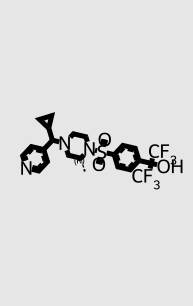 C[C@@H]1CN(C(c2ccncc2)C2CC2)CCN1S(=O)(=O)c1ccc(C(O)(C(F)(F)F)C(F)(F)F)cc1